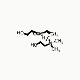 C=CC(=O)[O-].C[N+](C)(C)CCO.OCCO